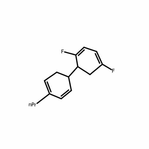 CCCC1=CCC(C2CC(F)=CC=C2F)C=C1